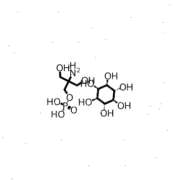 NC(CO)(CO)COP(=O)(O)O.O[C@H]1[C@H](O)[C@@H](O)[C@H](O)[C@@H](O)[C@H]1O